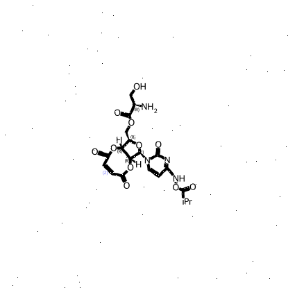 CC(C)C(=O)ONc1ccn([C@@H]2O[C@H](COC(=O)[C@H](N)CO)[C@H]3OC(=O)/C=C\C(=O)O[C@H]32)c(=O)n1